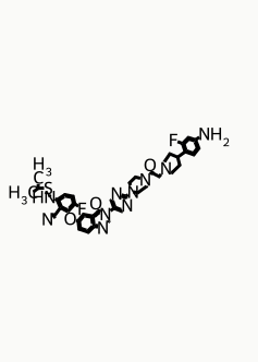 CC(C)SNc1ccc(F)c(Oc2ccc3ncn(-c4cnc(N5CCN(C(=O)CN6CCC(c7ccc(N)cc7F)CC6)CC5)nc4)c(=O)c3c2)c1C#N